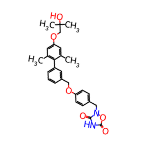 Cc1cc(OCC(C)(C)O)cc(C)c1-c1cccc(COc2ccc(Cn3oc(=O)[nH]c3=O)cc2)c1